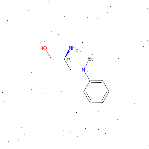 CCN(C[C@H](N)CO)c1ccccc1